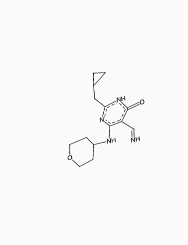 N=Cc1c(NC2CCOCC2)nc(CC2CC2)[nH]c1=O